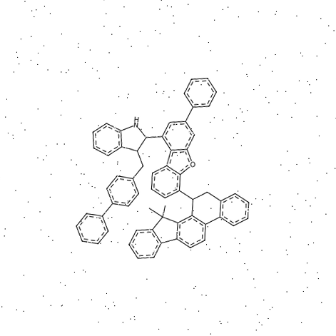 CC1(C)c2ccccc2-c2ccc3c(c21)C(c1cccc2c1oc1cc(-c4ccccc4)cc(C4Nc5ccccc5C4Cc4ccc(-c5ccccc5)cc4)c12)Cc1ccccc1-3